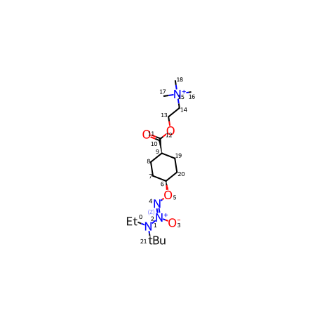 CCN(/[N+]([O-])=N/O[C@H]1CC[C@@H](C(=O)OCC[N+](C)(C)C)CC1)C(C)(C)C